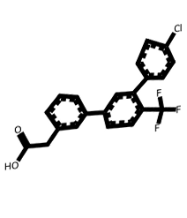 O=C(O)Cc1cccc(-c2ccc(C(F)(F)F)c(-c3ccc(Cl)cc3)c2)c1